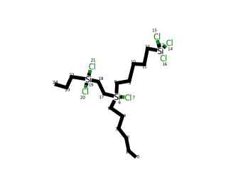 CCCCCC[Si](Cl)(CCCCC[Si](Cl)(Cl)Cl)CC[Si](Cl)(Cl)CCC